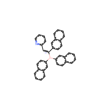 C(=C(\B(c1ccc2ccccc2c1)c1ccc2ccccc2c1)c1ccc2ccccc2c1)/c1ccccn1